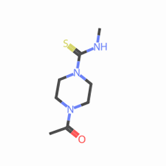 CNC(=S)N1CCN(C(C)=O)CC1